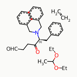 C=C.CCOC(C)OCC.O=CCCC(=O)[C@H](Cc1ccccc1)N(Cc1ccccc1)Cc1ccccc1